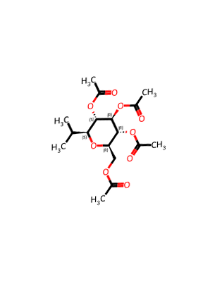 CC(=O)OC[C@H]1O[C@@H](C(C)C)[C@H](OC(C)=O)[C@@H](OC(C)=O)[C@@H]1OC(C)=O